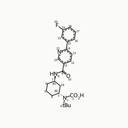 CC(C)(C)N(C(=O)O)[C@@H]1CCC[C@@H](NC(=O)c2ccc(-c3cccc(F)c3)nc2)C1